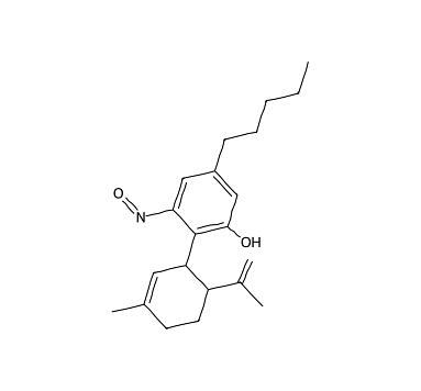 C=C(C)C1CCC(C)=CC1c1c(O)cc(CCCCC)cc1N=O